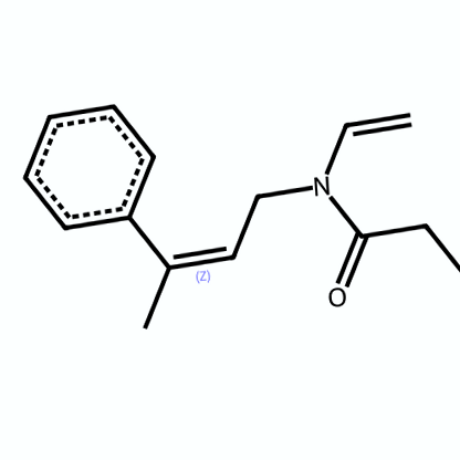 C=CN(C/C=C(/C)c1ccccc1)C(=O)CC